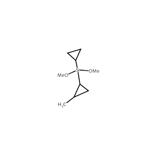 CO[Si](OC)(C1CC1)C1CC1C